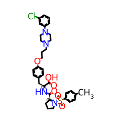 Cc1ccc(S(=O)(=O)N2CCC[C@H]2C(=O)N[C@@H](Cc2ccc(OCCCN3CCN(c4cccc(Cl)c4)CC3)cc2)C(=O)O)cc1